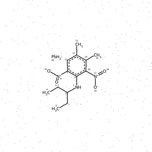 CCC(CC)Nc1c([N+](=O)[O-])cc(C)c(C)c1[N+](=O)[O-].[PbH2]